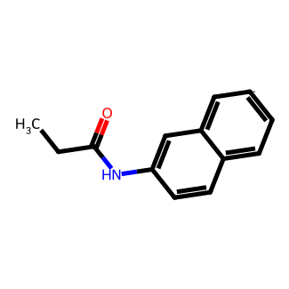 CCC(=O)Nc1ccc2cc[c]cc2c1